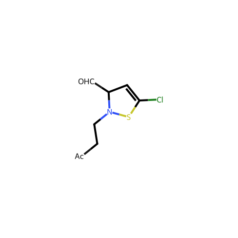 CC(=O)CCN1SC(Cl)=CC1C=O